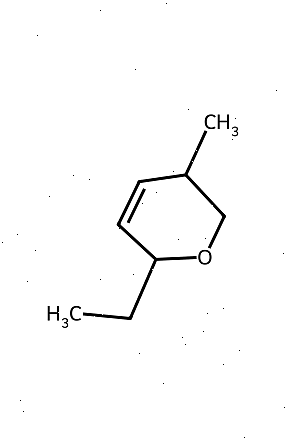 CCC1C=CC(C)CO1